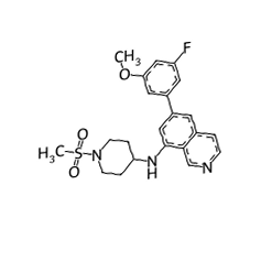 COc1cc(F)cc(-c2cc(NC3CCN(S(C)(=O)=O)CC3)c3cnccc3c2)c1